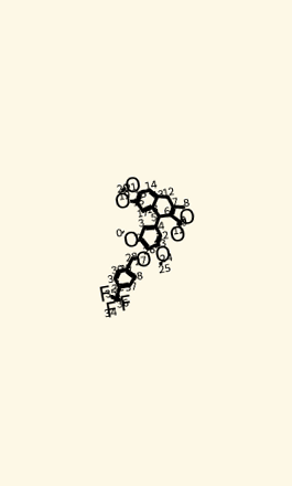 COc1cc(C2C3=C(COC3=O)Cc3cc4c(cc32)OCO4)cc(OC)c1OCc1ccc(C(F)(F)F)cc1